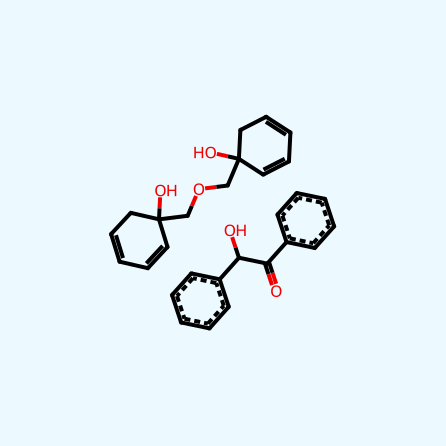 O=C(c1ccccc1)C(O)c1ccccc1.OC1(COCC2(O)C=CC=CC2)C=CC=CC1